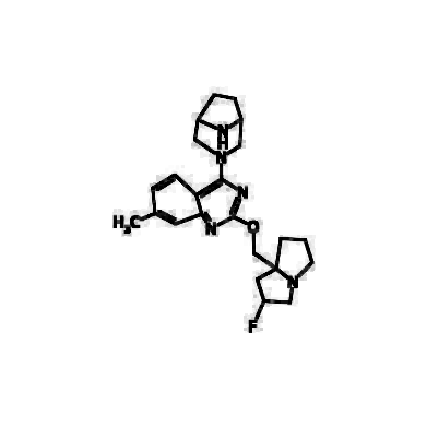 Cc1ccc2c(N3CC4CCC(C3)N4)nc(OCC34CCCN3CC(F)C4)nc2c1